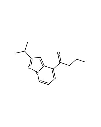 CCCC(=O)c1cccn2nc(C(C)C)cc12